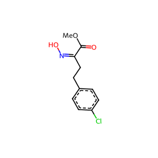 COC(=O)C(CCc1ccc(Cl)cc1)=NO